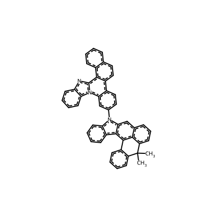 CC1(C)c2ccccc2-c2c3c1cccc3cc1c2c2ccccc2n1-c1ccc2c3ccc4ccccc4c3c3nc4ccccc4n3c2c1